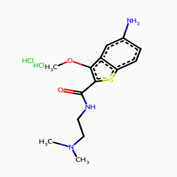 COc1c(C(=O)NCCN(C)C)sc2ccc(N)cc12.Cl.Cl